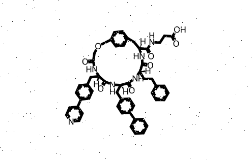 O=C(O)CCNC(=O)[C@@H]1Cc2ccc(cc2)OCC(=O)N[C@@H](Cc2ccc(-c3ccncc3)cc2)C(=O)N[C@H](Cc2ccc(-c3ccccc3)cc2)C(=O)N[C@@H](CCc2ccccc2)C(=O)N1